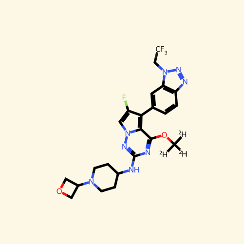 [2H]C([2H])([2H])Oc1nc(NC2CCN(C3COC3)CC2)nn2cc(F)c(-c3ccc4nnn(CC(F)(F)F)c4c3)c12